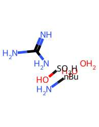 CCCCN.N=C(N)N.O.O.O=S(=O)(O)O